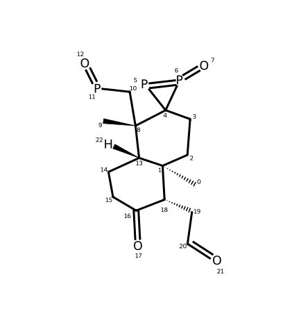 C[C@@]12CCC3(P=P3=O)[C@@](C)(CP=O)[C@H]1CCC(=O)[C@H]2CC=O